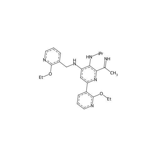 CCOc1ncccc1CNc1cc(-c2cccnc2OCC)nc(C(C)=N)c1NC(C)C